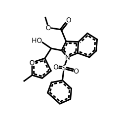 COC(=O)c1c(C(O)c2ccc(C)o2)n(S(=O)(=O)c2ccccc2)c2ccccc12